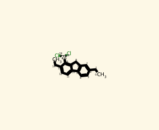 CCc1ccc2c(c1)Cc1c-2ccc(CC)[c]1[Zr]([Cl])[Cl]